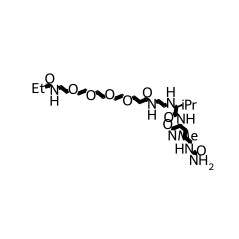 CCC(=O)NCCOCCOCCOCCOCCC(=O)NCCN[C@H](C(=O)NC(CCCNC(N)=O)C(=O)NC)C(C)C